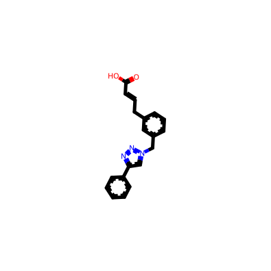 O=C(O)/C=C/Cc1cccc(Cn2cc(-c3ccccc3)nn2)c1